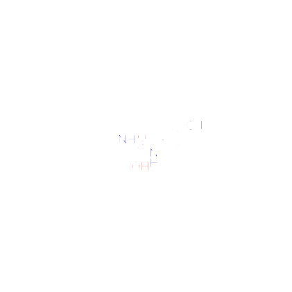 Cc1ccc(NC(=O)C(O)C(N)CC2CCCCC2)cc1